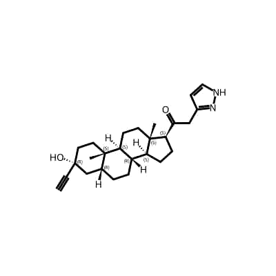 C#C[C@@]1(O)CC[C@@]2(C)[C@H](CC[C@@H]3[C@@H]2CC[C@]2(C)[C@@H](C(=O)Cc4cc[nH]n4)CC[C@@H]32)C1